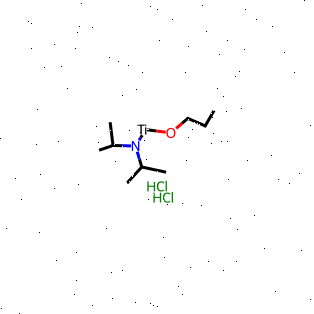 CCC[O][Ti][N](C(C)C)C(C)C.Cl.Cl